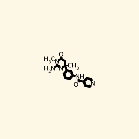 CN1C(=O)C[C@](C)(c2cccc(NC(=O)c3ccncc3)c2)N=C1N